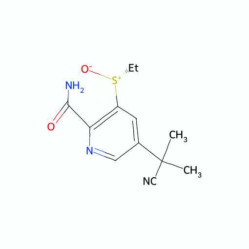 CC[S@@+]([O-])c1cc(C(C)(C)C#N)cnc1C(N)=O